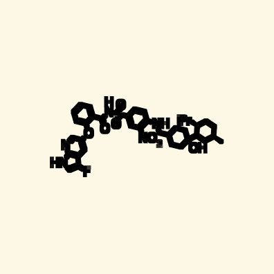 CC(C)[C@H]1CC[C@@H](C)CC1C1(O)CCC(CNc2ccc(S(=O)(=O)NC(=O)c3ccccc3Oc3cnc4[nH]cc(F)c4c3)cc2[N+](=O)[O-])CC1